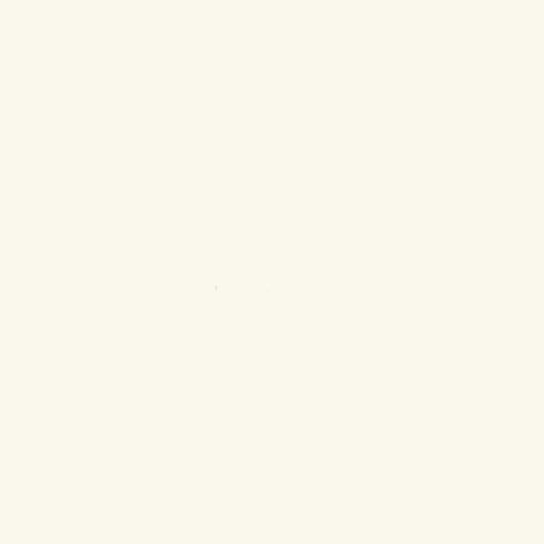 Fc1ccc(CCCc2ccc(Cl)cc2)cc1